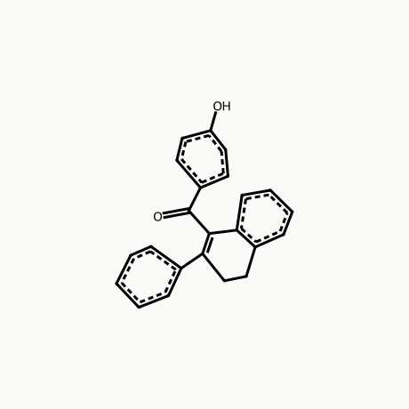 O=C(C1=C(c2ccccc2)CCc2ccccc21)c1ccc(O)cc1